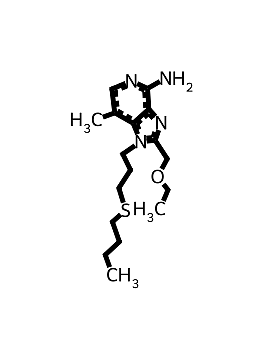 CCCCSCCCn1c(COCC)nc2c(N)ncc(C)c21